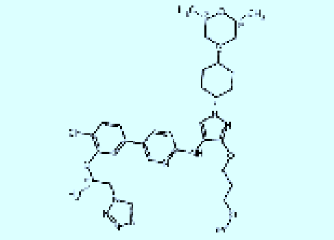 CC(C)OCCCOc1nn([C@H]2CC[C@H](N3C[C@@H](C)O[C@@H](C)C3)CC2)cc1Nc1ncc(-c2ccc(Cl)c(O[C@@H](C)Cn3cnnn3)c2)cn1